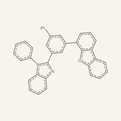 CC(C)c1cc(-c2cccc3c2oc2ccccc23)cc(-c2nc3ccccc3n2-c2ccccc2)c1